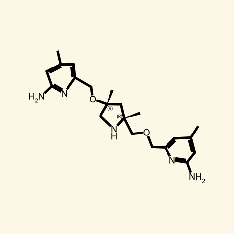 Cc1cc(N)nc(COC[C@@]2(C)C[C@@](C)(OCc3cc(C)cc(N)n3)CN2)c1